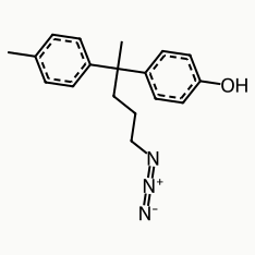 Cc1ccc(C(C)(CCCN=[N+]=[N-])c2ccc(O)cc2)cc1